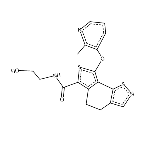 Cc1ncccc1Oc1sc(C(=O)NCCO)c2c1-c1sncc1CC2